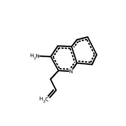 C=CCc1nc2ccccc2cc1N